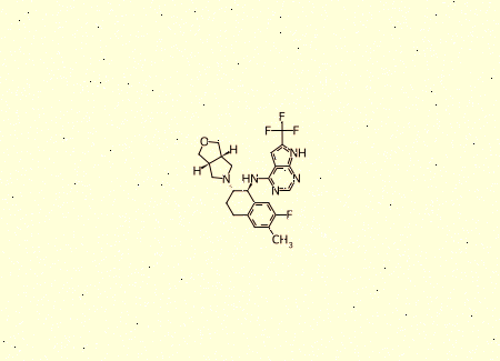 Cc1cc2c(cc1F)[C@H](Nc1ncnc3[nH]c(C(F)(F)F)cc13)[C@@H](N1C[C@H]3COC[C@H]3C1)CC2